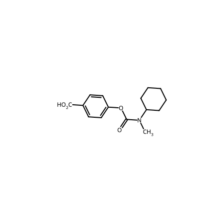 CN(C(=O)Oc1ccc(C(=O)O)cc1)C1CCCCC1